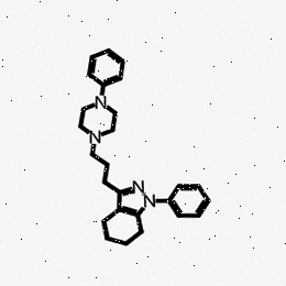 c1ccc(N2CCN(CCCc3nn(-c4ccccc4)c4c3CCCC4)CC2)cc1